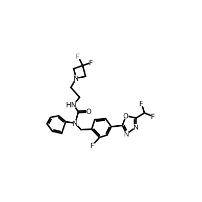 O=C(NCCN1CC(F)(F)C1)N(Cc1ccc(-c2nnc(C(F)F)o2)cc1F)c1ccccc1